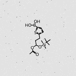 CC(=O)OC(CCc1ccc(B(O)O)s1)O[Si](C)(C)C(C)(C)C